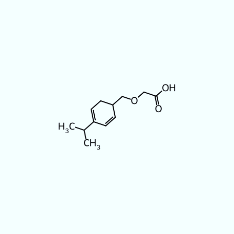 CC(C)C1=CCC(COCC(=O)O)C=C1